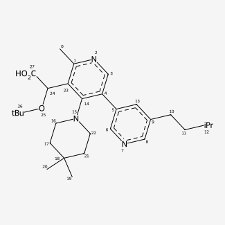 Cc1ncc(-c2cncc(CCC(C)C)c2)c(N2CCC(C)(C)CC2)c1C(OC(C)(C)C)C(=O)O